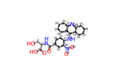 O=C(NC(CO)C(=O)O)c1ccc(Nc2c3ccccc3nc3ccccc23)c([N+](=O)[O-])c1